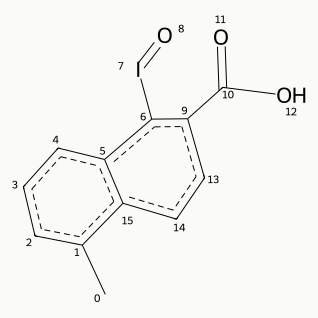 Cc1cccc2c(I=O)c(C(=O)O)ccc12